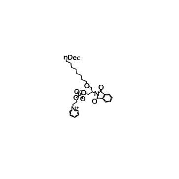 CCCCCCCCCCCCCCCCCCOCC(COP(=O)([O-])OCC[n+]1ccccc1)N1C(=O)c2ccccc2C1=O